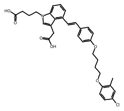 Cc1cc(Cl)ccc1OCCCCOc1ccc(C=Cc2cccc3c2c(CC(=O)O)cn3CCCC(=O)O)cc1